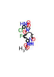 COC(=O)Nc1ccc2c(c1)NC(=O)CCCC[C@@H](C(=O)N1CCC[C@@]3(C1)OC(=O)Nc1ccc(Cl)cc13)c1cc(F)cc-2c1